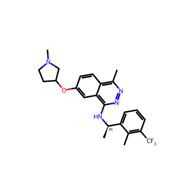 Cc1c([C@@H](C)Nc2nnc(C)c3ccc(OC4CCN(C)C4)cc23)cccc1C(F)(F)F